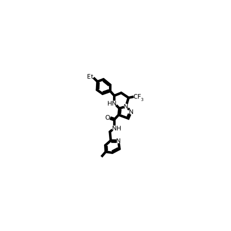 CCc1ccc(C2CC(C(F)(F)F)n3ncc(C(=O)NCc4cc(C)ccn4)c3N2)cc1